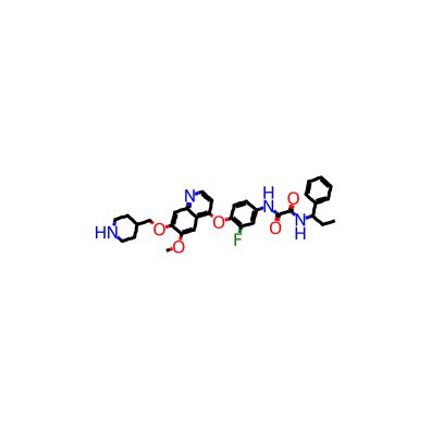 CCC(NC(=O)C(=O)Nc1ccc(Oc2ccnc3cc(OCC4CCNCC4)c(OC)cc23)c(F)c1)c1ccccc1